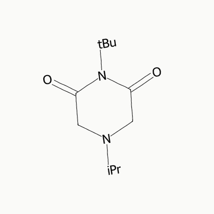 CC(C)N1CC(=O)N(C(C)(C)C)C(=O)C1